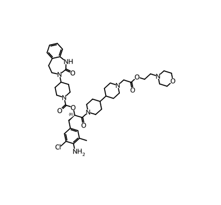 Cc1cc(C[C@@H](OC(=O)N2CCC(N3CCc4ccccc4NC3=O)CC2)C(=O)N2CCC(C3CCN(CC(=O)OCCN4CCOCC4)CC3)CC2)cc(Cl)c1N